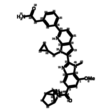 COc1cc(C(=O)N2CC3CCC2[C@@H]3N)cc2nc(-c3cc4ccc(-c5cccc(CC(N)=O)c5)nc4n3CC3CC3)n(C)c12